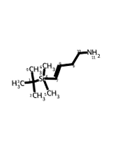 CC(C)(C)[Si](C)(C)C=CCCN